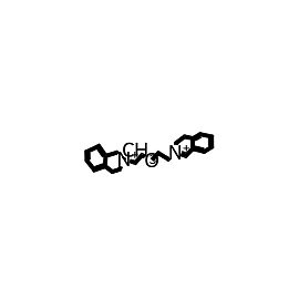 C[N+]1(CCOCC[N+]2=Cc3ccccc3CC2)CCc2ccccc2C1